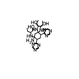 CCC(CO)NC1(N)CC(NC(CC)CO)(NC(CC)CO)C(c2ncncn2)CC1c1ncncn1